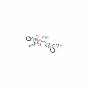 CCCc1cn(Cc2ccccc2)c(=O)n(CCCN2CCN(c3ccccc3OC)CC2)c1=O.Cl